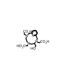 O=C(O)CN1CCN(CC(=O)O)CC(CO)N(CC(=O)O)Cc2cccc(n2)C1